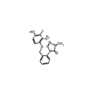 Cc1c(OCc2ccccc2-n2nnn(C)c2=O)ccc(O)c1F